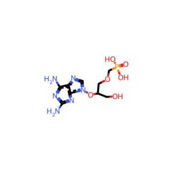 Nc1nc(N)c2ncn(OC(CO)COCP(=O)(O)O)c2n1